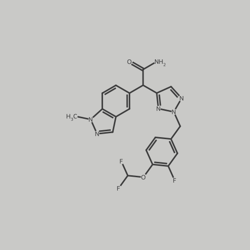 Cn1ncc2cc(C(C(N)=O)c3cnn(Cc4ccc(OC(F)F)c(F)c4)n3)ccc21